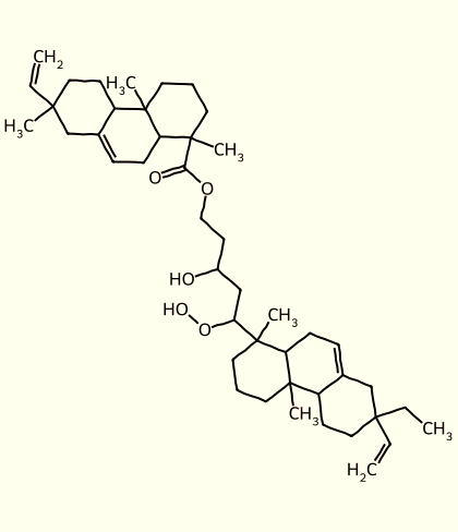 C=CC1(C)CCC2C(=CCC3C(C)(C(=O)OCCC(O)CC(OO)C4(C)CCCC5(C)C6CCC(C=C)(CC)CC6=CCC45)CCCC23C)C1